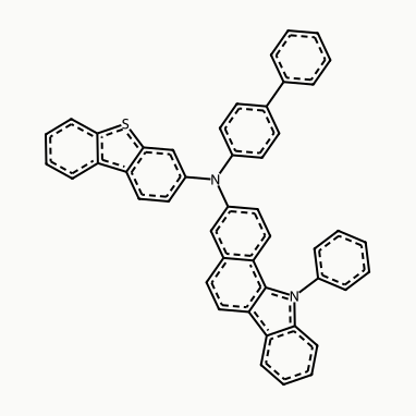 c1ccc(-c2ccc(N(c3ccc4c(ccc5c6ccccc6n(-c6ccccc6)c45)c3)c3ccc4c(c3)sc3ccccc34)cc2)cc1